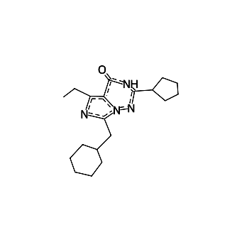 CCc1nc(CC2CCCCC2)n2nc(C3CCCC3)[nH]c(=O)c12